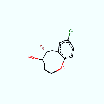 O[C@@H]1CCOc2ccc(Cl)cc2[C@H]1Br